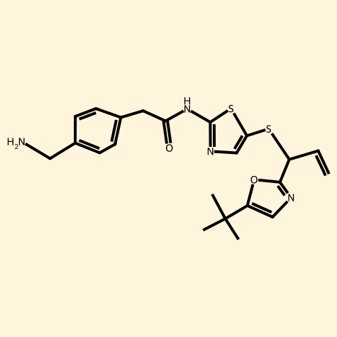 C=CC(Sc1cnc(NC(=O)Cc2ccc(CN)cc2)s1)c1ncc(C(C)(C)C)o1